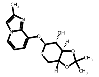 Cc1cn2cccc(O[C@@H]3SC[C@H]4OC(C)(C)O[C@@H]4[C@H]3O)c2n1